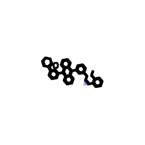 CCc1ccccc1/C=C\Cc1cccc(-c2c3ccccc3c(-c3cccc4c5c(oc34)CCC=C5)c3ccccc23)c1